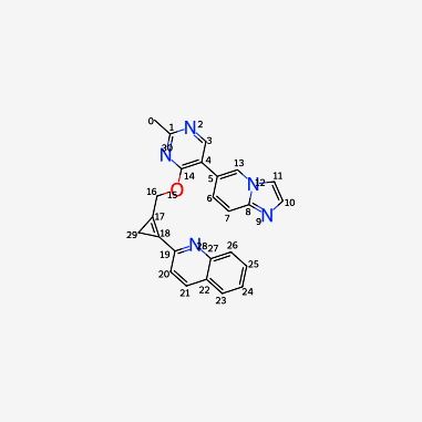 Cc1ncc(-c2ccc3nccn3c2)c(OCC2=C(c3ccc4ccccc4n3)C2)n1